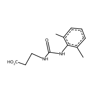 Cc1cccc(C)c1NC(=O)NCCC(=O)O